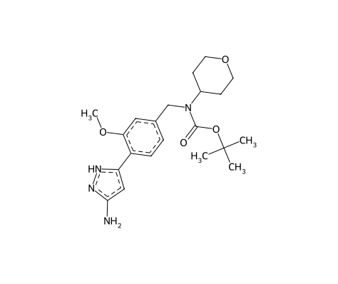 COc1cc(CN(C(=O)OC(C)(C)C)C2CCOCC2)ccc1-c1cc(N)n[nH]1